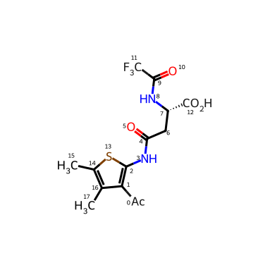 CC(=O)c1c(NC(=O)C[C@H](NC(=O)C(F)(F)F)C(=O)O)sc(C)c1C